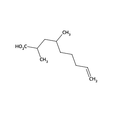 C=CCCCC(C)CC(C)C(=O)O